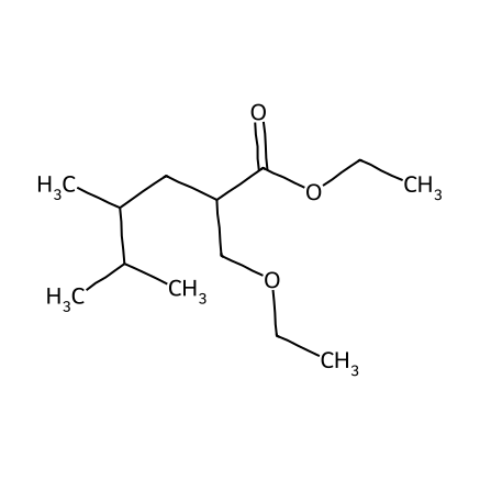 CCOCC(CC(C)C(C)C)C(=O)OCC